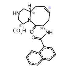 O=C(N[C@H]1C/C=C\C[C@H]2CNC[C@@H](C(=O)O)N2C1=O)c1cccc2ccccc12